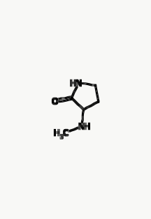 CNC1CCNC1=O